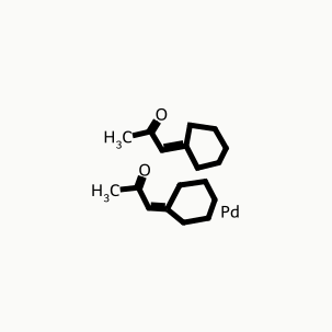 CC(=O)C=C1CCCCC1.CC(=O)C=C1CCCCC1.[Pd]